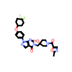 Cc1ncc(C(=O)N2CCC(O)(Cn3cnc4c(cnn4-c4ccc(OC5CCC(F)(F)CC5)cc4)c3=O)CC2)o1